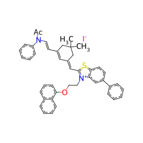 CC(=O)N(C=CC1=CC(=Cc2sc3ccc(-c4ccccc4)cc3[n+]2CCOc2cccc3ccccc23)CC(C)(C)C1)c1ccccc1.[I-]